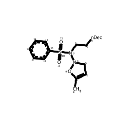 CCCCCCCCCCCCN(N1CC=C(C)O1)S(=O)(=O)c1ccccc1